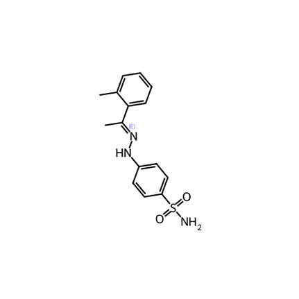 C/C(=N\Nc1ccc(S(N)(=O)=O)cc1)c1ccccc1C